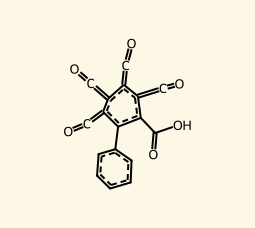 O=C=c1c(C(=O)O)c(-c2ccccc2)c(=C=O)c(=C=O)c1=C=O